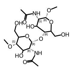 CO[C@@H]1C(CO)O[C@H](O[C@H]2C(CO)O[C@@H](OC)[C@@H](NC(C)=O)C2O)[C@H](NC(C)=O)C1O